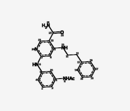 CC(=O)Nc1cccc(Nc2cc(NCCc3ccccc3)c(C(N)=O)cn2)c1